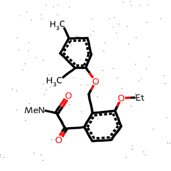 CCOc1cccc(C(=O)C(=O)NC)c1COc1ccc(C)cc1C